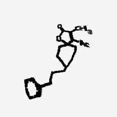 CC(=O)C1=C(C)C(=O)OC12CCC(CCCc1ccccc1)CC2